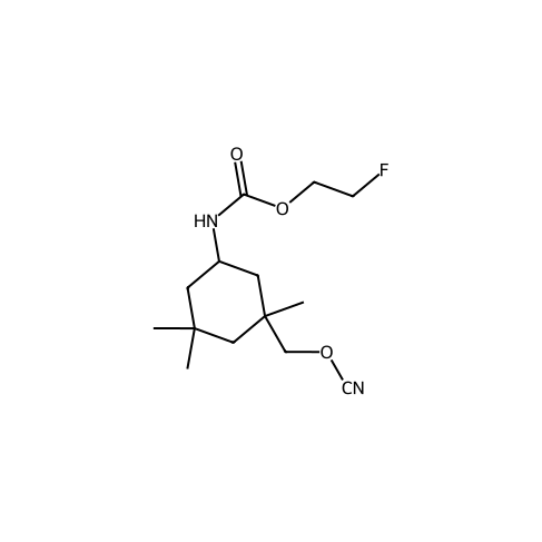 CC1(C)CC(NC(=O)OCCF)CC(C)(COC#N)C1